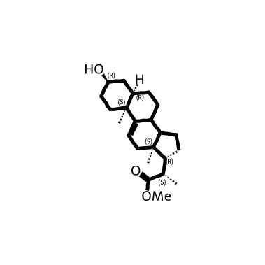 COC(=O)[C@@H](C)[C@H]1CCC2C3CC[C@@H]4C[C@H](O)CC[C@]4(C)C3=CC[C@@]21C